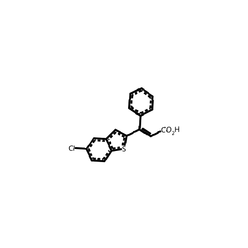 O=C(O)C=C(c1ccccc1)c1cc2cc(Cl)ccc2s1